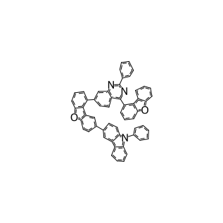 c1ccc(-c2nc(-c3cccc4oc5ccccc5c34)c3ccc(-c4cccc5oc6ccc(-c7ccc8c(c7)c7ccccc7n8-c7ccccc7)cc6c45)cc3n2)cc1